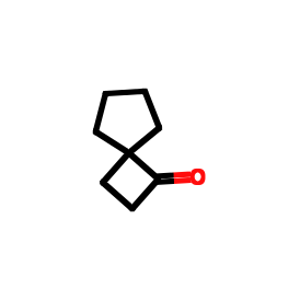 O=C1CCC12CCCC2